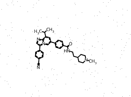 CC(C)c1cc(-c2ccc(C(=O)NCCC3CCN(C)CC3)cc2)cn2c(-c3ccc(C#N)cc3)cnc12